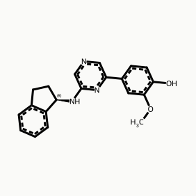 COc1cc(-c2cncc(N[C@@H]3CCc4ccccc43)n2)ccc1O